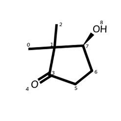 CC1(C)C(=O)CC[C@@H]1O